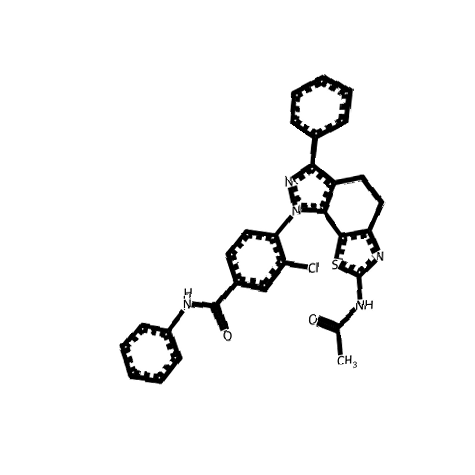 CC(=O)Nc1nc2c(s1)-c1c(c(-c3ccccc3)nn1-c1ccc(C(=O)Nc3ccccc3)cc1Cl)CC2